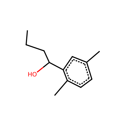 CCCC(O)c1cc(C)ccc1C